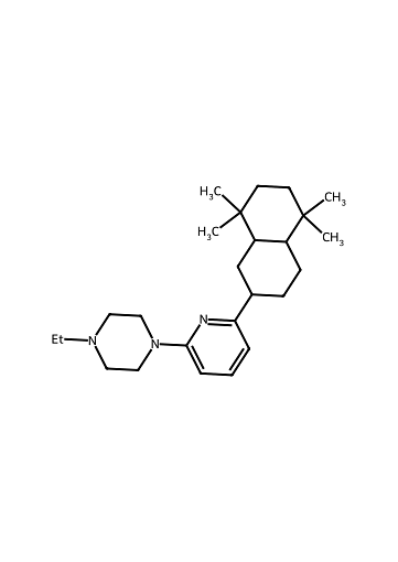 [CH2]CN1CCN(c2cccc(C3CCC4C(C3)C(C)(C)CCC4(C)C)n2)CC1